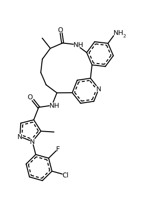 Cc1c(C(=O)NC2CCCC(C)C(=O)Nc3cc(N)ccc3-c3cc2ccn3)cnn1-c1cccc(Cl)c1F